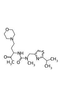 CC(=O)C(CCN1CCOCC1)NC(=O)N(C)Cc1csc(C(C)C)n1